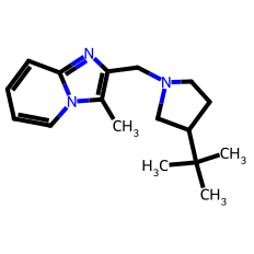 Cc1c(CN2CCC(C(C)(C)C)C2)nc2ccccn12